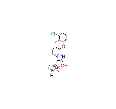 Cc1c(Cl)cccc1Oc1cccn2c([C@]34CC[C@H](C[C@H]3O)C4(C)C)nnc12